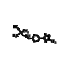 C#CC(C)(C)CNCc1ccc(-c2noc(C(F)(F)F)n2)cc1